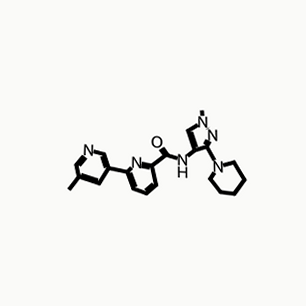 Cc1cncc(-c2cccc(C(=O)Nc3cn(C)nc3N3CCCCC3)n2)c1